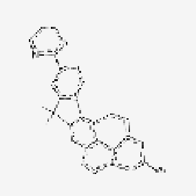 CC(C)(C)c1cc2ccc3cc4c(c5ccc(c1)c2c35)-c1ccc(-c2ncccn2)cc1C4(C)C